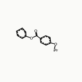 CC(C)Oc1ccc(C(=O)Oc2ccccc2)cc1